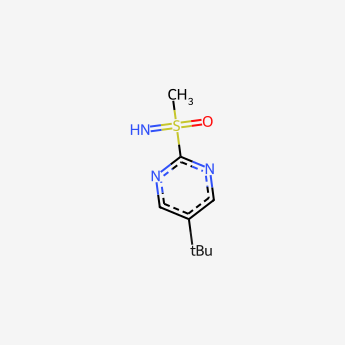 CC(C)(C)c1cnc(S(C)(=N)=O)nc1